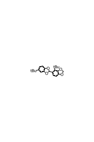 CC(C)(C)c1ccc2c(c1)OC(c1ccc3c(c1C(C)(C)C)OCO3)O2